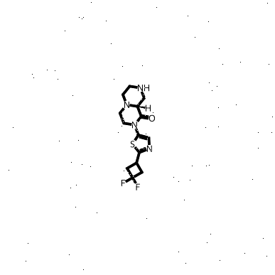 O=C1[C@H]2CNCCN2CCN1c1cnc(C2CC(F)(F)C2)s1